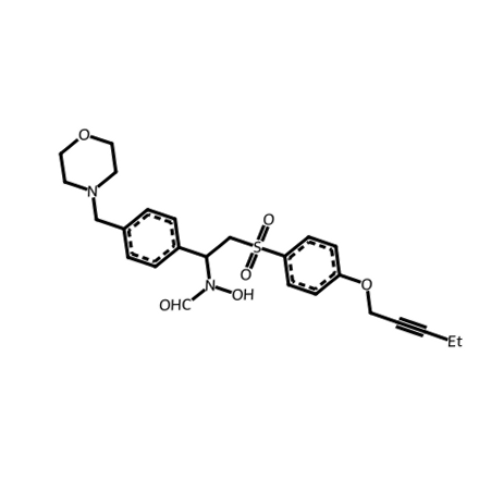 CCC#CCOc1ccc(S(=O)(=O)CC(c2ccc(CN3CCOCC3)cc2)N(O)C=O)cc1